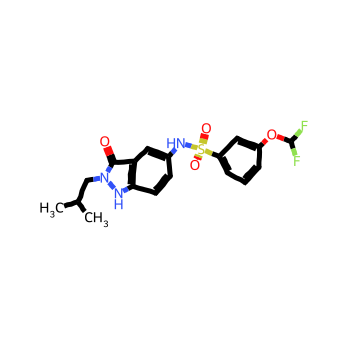 CC(C)Cn1[nH]c2ccc(NS(=O)(=O)c3cccc(OC(F)F)c3)cc2c1=O